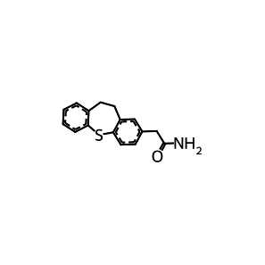 NC(=O)Cc1ccc2c(c1)CCc1ccccc1S2